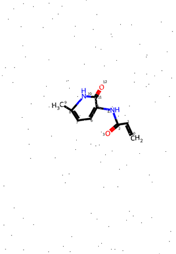 C=CC(=O)Nc1ccc(C)[nH]c1=O